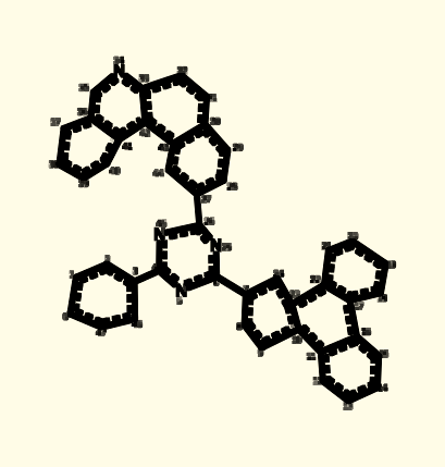 c1ccc(-c2nc(-c3ccc4c5ccccc5c5ccccc5c4c3)nc(-c3ccc4ccc5ncc6ccccc6c5c4c3)n2)cc1